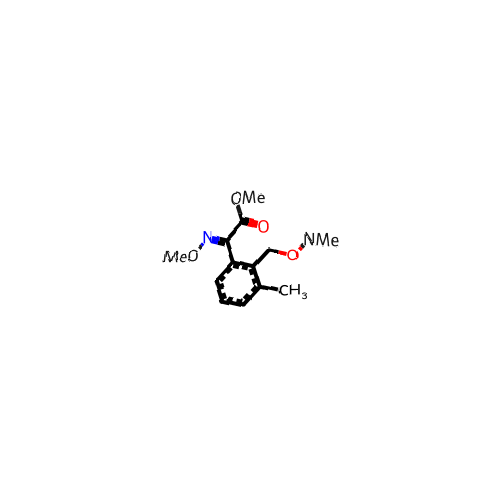 CNOCc1c(C)cccc1/C(=N\OC)C(=O)OC